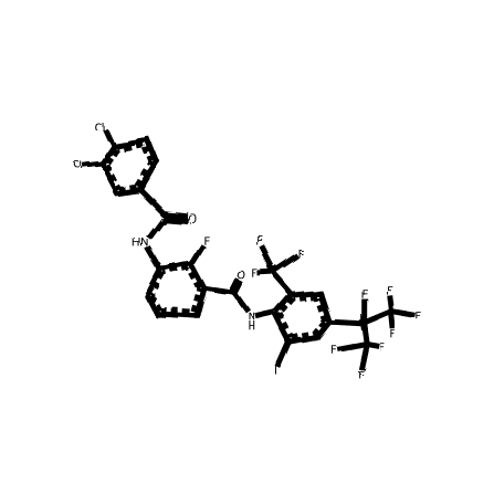 O=C(Nc1cccc(C(=O)Nc2c(I)cc(C(F)(C(F)(F)F)C(F)(F)F)cc2C(F)(F)F)c1F)c1ccc(Cl)c(Cl)c1